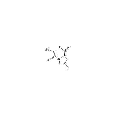 CC(C)(C)OC(=O)N1CC(F)CC1C(=O)F